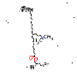 CCCCC/C=C\C/C=C\CCCCCCCCCC(CCCCCCCCC(=O)OCC(CCC(C)C)C(C)C)CCCN(C)C